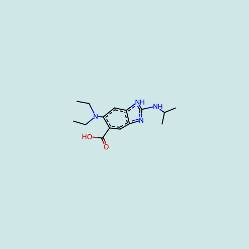 CCN(CC)c1cc2[nH]c(NC(C)C)nc2cc1C(=O)O